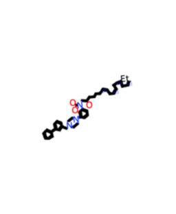 CC/C=C\C/C=C\C/C=C\C/C=C\CCCCC(=O)Cn1c(=O)oc2c(N3CCN(Cc4cccc(-c5ccccc5)c4)CC3)cccc21